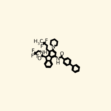 CC(F)(F)CCc1c(N2CCCCC2)cc(NC(=O)c2ccc(-c3ccccc3)cc2)c2c1C(C(=O)NCC(F)(F)F)c1ccccc1-2